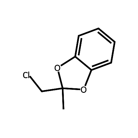 CC1(CCl)Oc2ccccc2O1